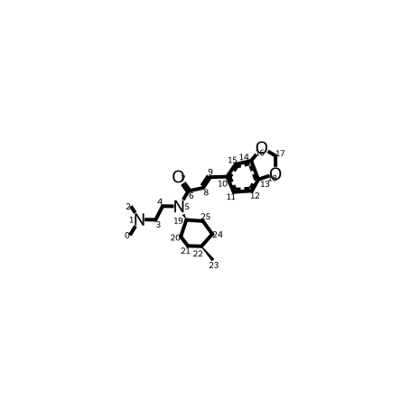 CN(C)CCN(C(=O)/C=C/c1ccc2c(c1)OCO2)[C@H]1CC[C@H](C)CC1